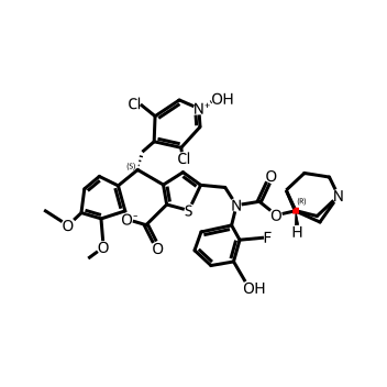 COc1ccc([C@H](Cc2c(Cl)c[n+](O)cc2Cl)c2cc(CN(C(=O)O[C@H]3CN4CCC3CC4)c3cccc(O)c3F)sc2C(=O)[O-])cc1OC